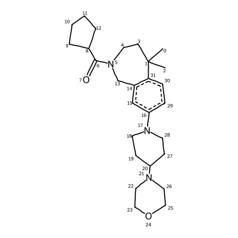 CC1(C)CCN(C(=O)C2CCCC2)Cc2cc(N3CCC(N4CCOCC4)CC3)ccc21